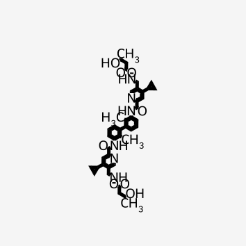 Cc1c(NC(=O)c2cc(C3CC3)c(CNOC(=O)CC(C)O)cn2)cccc1-c1cccc(NC(=O)c2cc(C3CC3)c(CNOC(=O)C[C@H](C)O)cn2)c1C